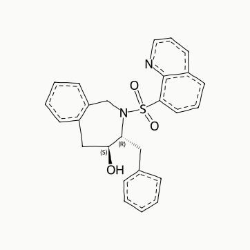 O=S(=O)(c1cccc2cccnc12)N1Cc2ccccc2C[C@H](O)[C@H]1Cc1ccccc1